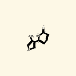 Cc1cscc1-c1cccc(=O)[nH]1